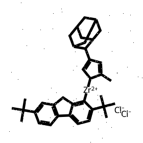 CC1=CC(C2C3CC4CC(C3)CC2C4)=C[CH]1[Zr+2][c]1c(C(C)(C)C)ccc2c1Cc1cc(C(C)(C)C)ccc1-2.[Cl-].[Cl-]